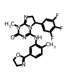 Cc1ccc(C2=NCCO2)cc1NC1=NC(=O)N(C)C2=NCC(c3cc(F)c(F)c(F)c3)N12